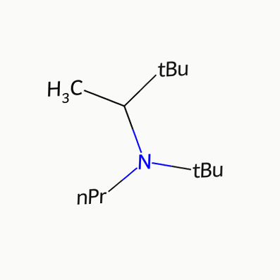 CCCN(C(C)C(C)(C)C)C(C)(C)C